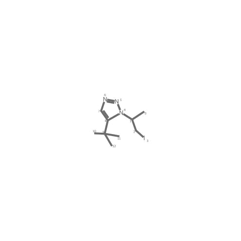 CC(CI)n1nncc1C(C)(C)C